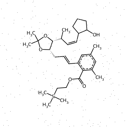 Cc1cc(C)c(C(=O)OCC[Si](C)(C)C)c(/C=C/C[C@@H]2OC(C)(C)O[C@@H]2C(C)/C=C\C2CCCC2O)c1